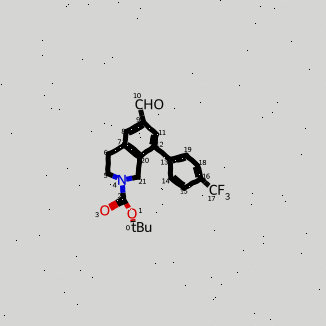 CC(C)(C)OC(=O)N1CCc2cc(C=O)cc(-c3ccc(C(F)(F)F)cc3)c2C1